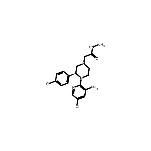 CNC(=O)CN1CCN(c2ncc(Cl)cc2N)[C@@H](c2ccc(Cl)cc2)C1